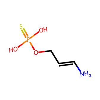 NC=CCOP(O)(O)=S